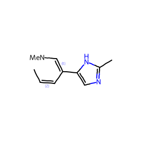 C/C=C\C(=C/NC)c1cnc(C)[nH]1